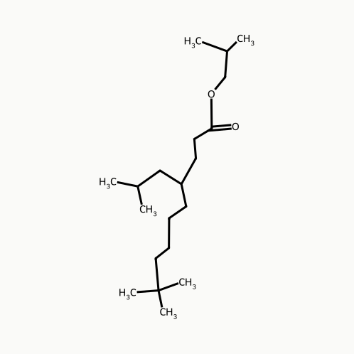 CC(C)COC(=O)CCC(CCCCC(C)(C)C)CC(C)C